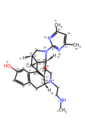 CNCCN1CC[C@@]23c4cc(O)ccc4C[C@@H]1[C@]21CC[C@@H]2[C@H]3[C@@H](CN2c2nc(C)cc(C)n2)C1